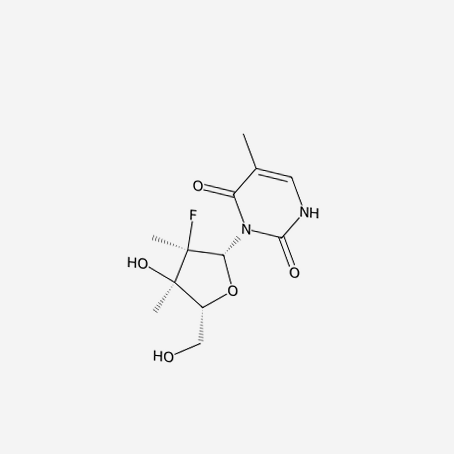 Cc1c[nH]c(=O)n([C@@H]2O[C@H](CO)[C@@](C)(O)[C@@]2(C)F)c1=O